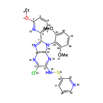 CCOc1cccc(-c2nc3nc(Cl)c(NSc4cccnc4)nc3n2-c2c(OC)cccc2OC)n1